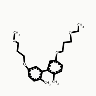 CCOCCCOc1ccc(C)c(-c2cc(OCCCOC)ccc2C)c1